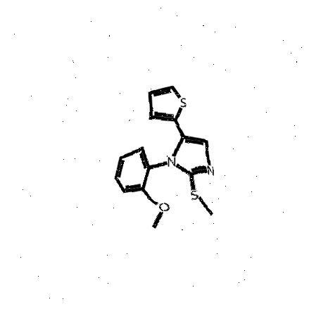 COc1ccccc1-n1c(-c2cccs2)cnc1SC